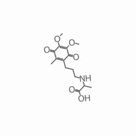 COC1=C(OC)C(=O)C(CCCNC(C)C(=O)O)=C(C)C1=O